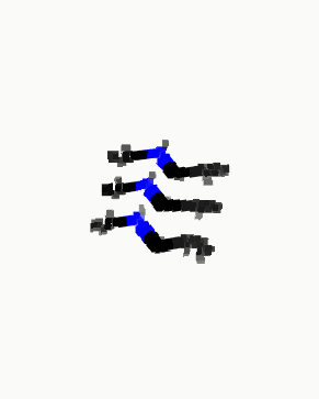 CN=CNC.CN=CNC.CN=CNC.[La]